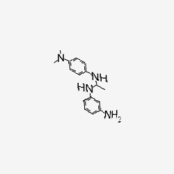 CC(Nc1ccc(N(C)C)cc1)Nc1cccc(N)c1